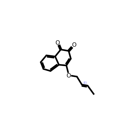 C/C=C/COC1=CC(=O)C(=O)c2ccccc21